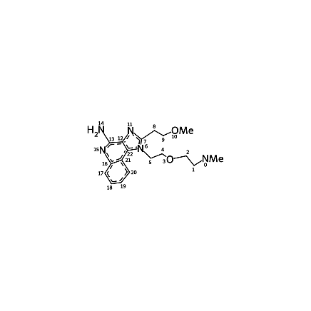 CNCCOCCn1c(CCOC)nc2c(N)nc3ccccc3c21